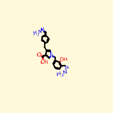 N/N=C\c1ccc(Cc2cn(Cc3cccc(/C=N\N)c3O)cc2C(=O)O)cc1